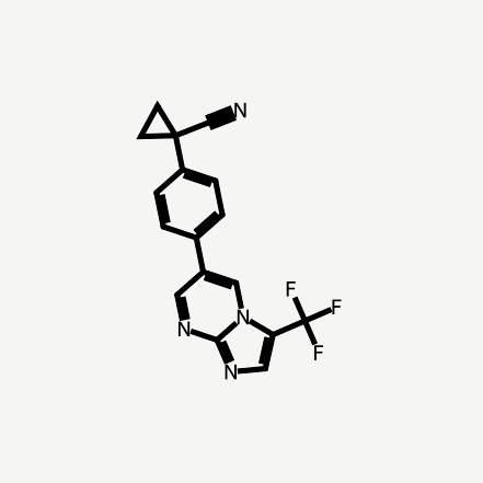 N#CC1(c2ccc(-c3cnc4ncc(C(F)(F)F)n4c3)cc2)CC1